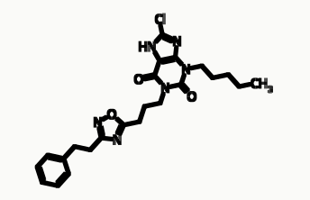 CCCCCn1c(=O)n(CCCc2nc(CCc3ccccc3)no2)c(=O)c2[nH]c(Cl)nc21